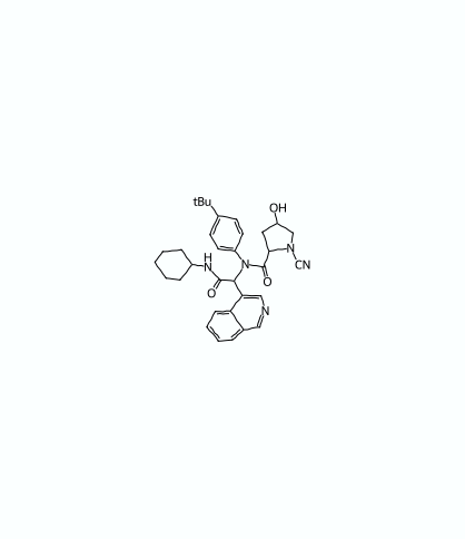 CC(C)(C)c1ccc(N(C(=O)C2CC(O)CN2C#N)C(C(=O)NC2CCCCC2)c2cncc3ccccc23)cc1